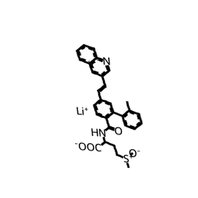 Cc1ccccc1-c1cc(C=Cc2cnc3ccccc3c2)ccc1C(=O)NC(CC[S+](C)[O-])C(=O)[O-].[Li+]